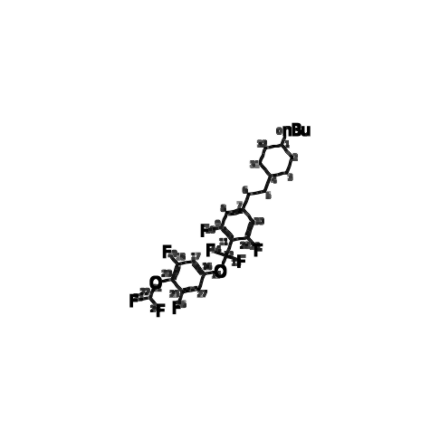 CCCCC1CCC(CCc2cc(F)c(C(F)(F)Oc3cc(F)c(OC(F)F)c(F)c3)c(F)c2)CC1